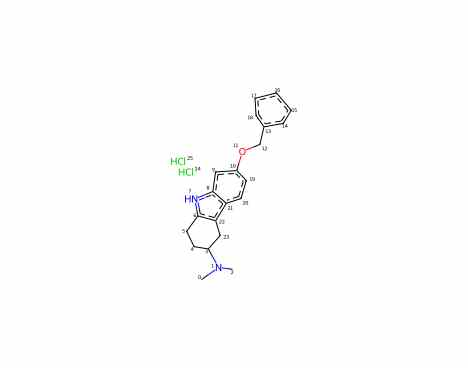 CN(C)C1CCc2[nH]c3cc(OCc4ccccc4)ccc3c2C1.Cl.Cl